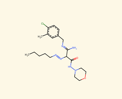 CCCCC/N=N/C(C(=O)NN1CCOCC1)/C(N)=N/Cc1ccc(Cl)c(C)c1